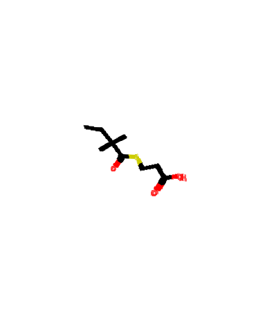 CCC(C)(C)C(=O)SCCC(=O)O